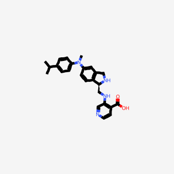 CC(C)c1ccc(N(C)c2ccc3c(c2)CN[C@H]3CNc2cnccc2C(=O)O)cc1